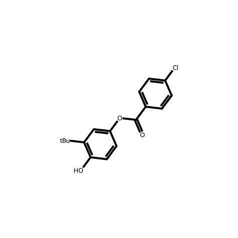 CC(C)(C)c1cc(OC(=O)c2ccc(Cl)cc2)ccc1O